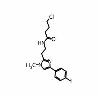 Cn1cc(-c2ccc(I)cc2)nc1CCNC(=O)CCCCl